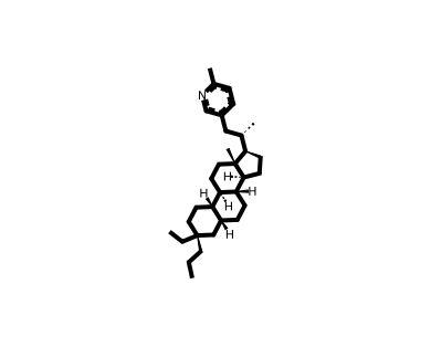 CCC[C@@]1(CC)CC[C@H]2[C@H](CC[C@@H]3[C@@H]2CC[C@]2(C)[C@@H]([C@@H](C)Cc4ccc(C)nc4)CC[C@@H]32)C1